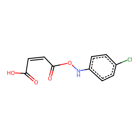 O=C(O)/C=C\C(=O)ONc1ccc(Cl)cc1